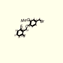 COc1cc(CBr)ccc1OCc1c(F)cccc1F